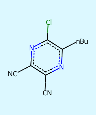 CCCCc1nc(C#N)c(C#N)nc1Cl